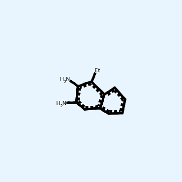 [CH2]Cc1c(N)c(N)cc2ccccc12